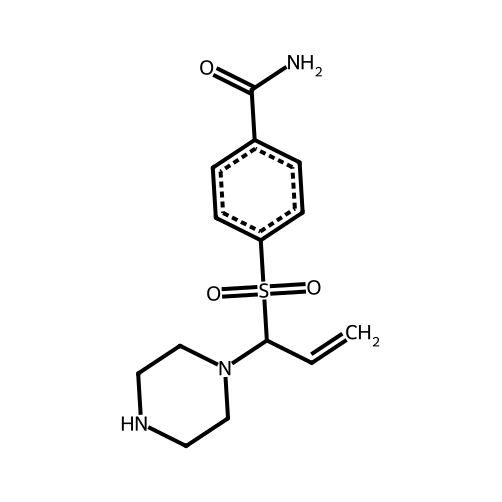 C=CC(N1CCNCC1)S(=O)(=O)c1ccc(C(N)=O)cc1